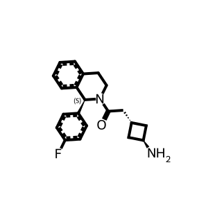 N[C@H]1C[C@H](CC(=O)N2CCc3ccccc3[C@@H]2c2ccc(F)cc2)C1